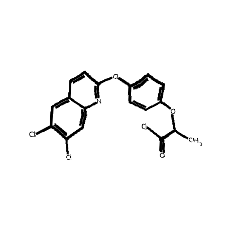 CC(Oc1ccc(Oc2ccc3cc(Cl)c(Cl)cc3n2)cc1)C(=O)Cl